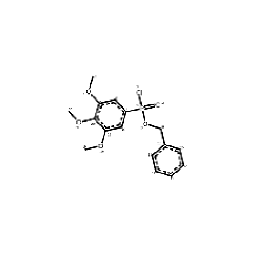 COc1cc(P(=O)(Cl)OCc2ccccc2)cc(OC)c1OC